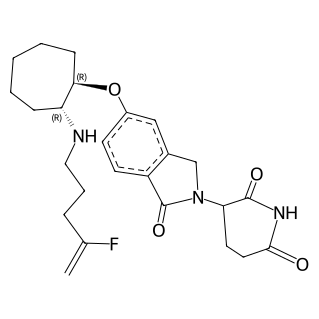 C=C(F)CCCN[C@@H]1CCCCC[C@H]1Oc1ccc2c(c1)CN(C1CCC(=O)NC1=O)C2=O